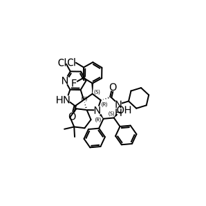 CC1(C)CCC2(CC1)N([C@H](c1ccccc1)[C@@H](O)c1ccccc1)[C@@H](C(=O)NC1CCCCC1)[C@H](c1cccc(Cl)c1F)[C@]21C(=O)Nc2nc(Cl)ccc21